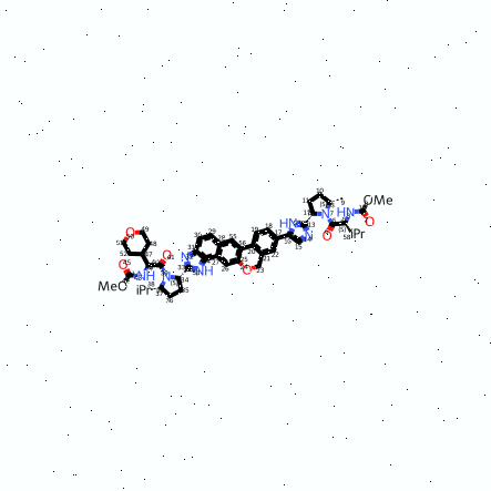 COC(=O)N[C@H](C(=O)N1[C@@H](C)CC[C@H]1c1ncc(-c2ccc3c(c2)COc2cc4c(ccc5nc([C@@H]6CC[C@H](C(C)C)N6C(=O)[C@@H](NC(=O)OC)C6CCOCC6)[nH]c54)cc2-3)[nH]1)C(C)C